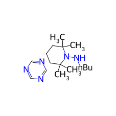 CCCCNN1C(C)(C)CCCC1(C)C.c1ncncn1